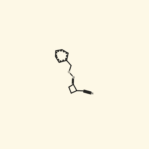 N#CC1CCC1=NOCc1ccccc1